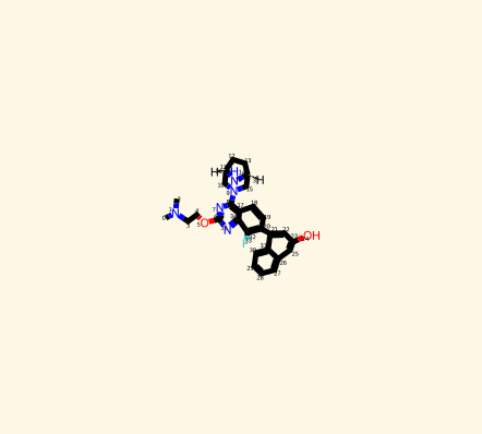 CN(C)CCOc1nc(N2C[C@H]3CC[C@@H](C2)N3)c2ccc(-c3cc(O)cc4ccccc34)c(F)c2n1